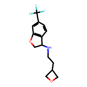 FC(F)(F)c1ccc2c(c1)OCC2NCCC1COC1